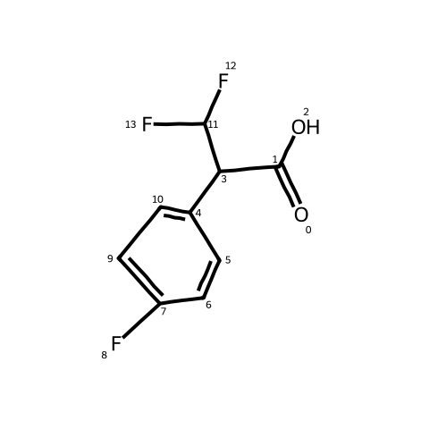 O=C(O)C(c1ccc(F)cc1)C(F)F